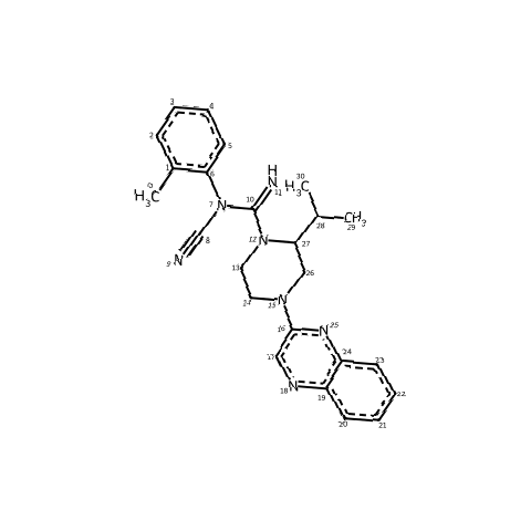 Cc1ccccc1N(C#N)C(=N)N1CCN(c2cnc3ccccc3n2)CC1C(C)C